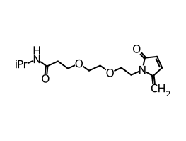 C=C1C=CC(=O)N1CCOCCOCCC(=O)NC(C)C